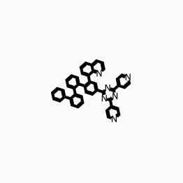 c1ccc(-c2ccccc2-c2ccccc2-c2ccc(-c3nc(-c4ccncc4)nc(-c4ccncc4)n3)cc2-c2cccc3cccnc23)cc1